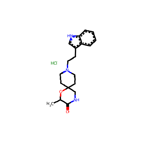 CC1OC2(CCN(CCc3c[nH]c4ccccc34)CC2)CNC1=O.Cl